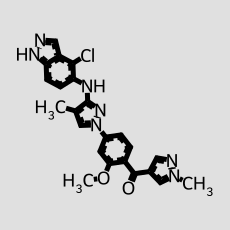 COc1cc(-n2cc(C)c(Nc3ccc4[nH]ncc4c3Cl)n2)ccc1C(=O)c1cnn(C)c1